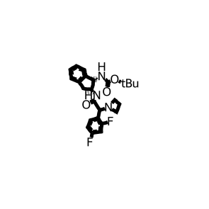 CC(C)(C)OC(=O)N[C@H]1c2ccccc2C[C@@H]1NC(=O)C(c1ccc(F)cc1F)N1CCC1